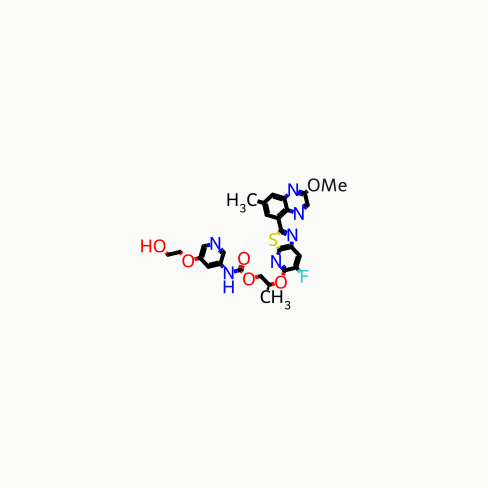 COc1cnc2c(-c3nc4cc(F)c(O[C@@H](C)COC(=O)Nc5cncc(OCCO)c5)nc4s3)cc(C)cc2n1